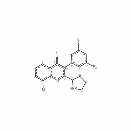 O=c1c2cccc(Cl)c2nc(C2CCCN2)n1-c1cc(F)cc(F)c1